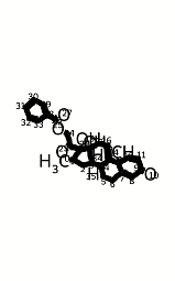 CC1C[C@H]2[C@@H]3CCC4=CC(=O)C=C[C@]4(C)C3=CC[C@]2(C)[C@@]1(O)C(=O)COC(=O)c1ccccc1